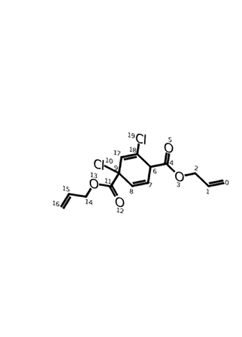 C=CCOC(=O)C1C=CC(Cl)(C(=O)OCC=C)C=C1Cl